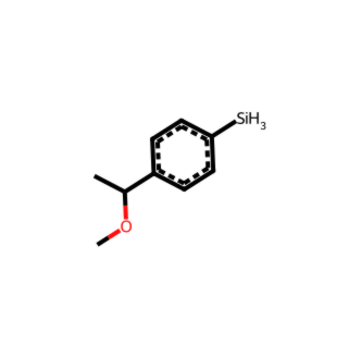 COC(C)c1ccc([SiH3])cc1